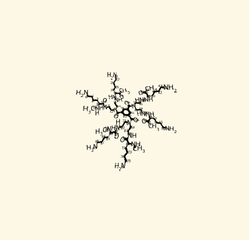 CN[C@@H](CCCCN)C(=O)NCCN(CCNN[C@@H](CCCCN)C(C)=O)C(=O)c1cc(C(=O)N(CCNN[C@@H](CCCCN)C(C)=O)CCNN[C@@H](CCCCN)C(C)=O)cc(C(=O)N(CCNC(=O)[C@H](CCCCN)NC)CCNC(=O)[C@H](CCCCN)NC)c1